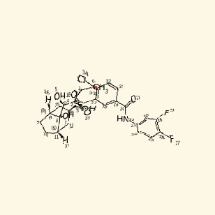 CC[C@@H](O)[C@H](O)[C@@]1(O)[C@@H]2CC[C@H]1C[C@H](S(=O)(=O)c1cc(C(=O)Nc3ccc(F)c(F)c3)ccc1Cl)C2